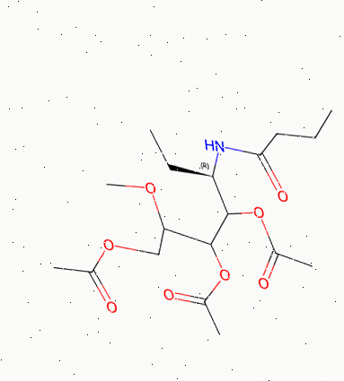 CCCC(=O)N[C@H](CC)C(OC(C)=O)C(OC(C)=O)C(COC(C)=O)OC